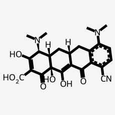 CN(C)c1ccc(C#N)c2c1C[C@H]1C[C@H]3[C@H](N(C)C)C(O)=C(C(=O)O)C(=O)[C@@]3(O)C(O)=C1C2=O